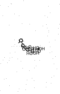 Cc1ccccc1-c1ccnc(Cn2c(=O)ccn([C@@H]3O[C@H](COP(=O)(O)O)C(O)C3O)c2=O)c1